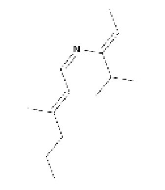 C\C=C(/N=C\C=C(/C)CCC)C(C)C